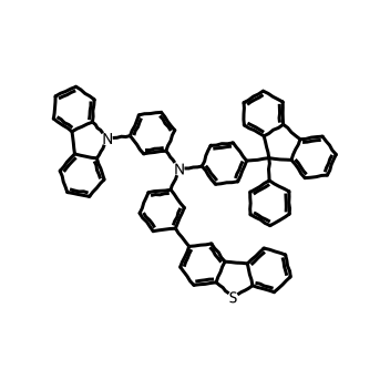 c1ccc(C2(c3ccc(N(c4cccc(-c5ccc6sc7ccccc7c6c5)c4)c4cccc(-n5c6ccccc6c6ccccc65)c4)cc3)c3ccccc3-c3ccccc32)cc1